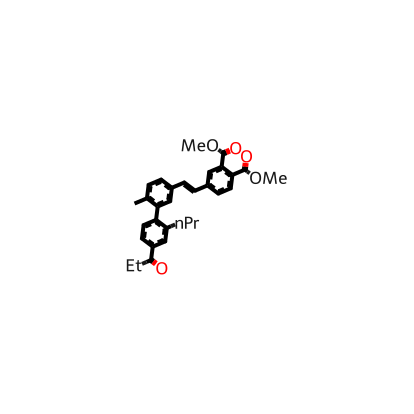 CCCc1cc(C(=O)CC)ccc1-c1cc(C=Cc2ccc(C(=O)OC)c(C(=O)OC)c2)ccc1C